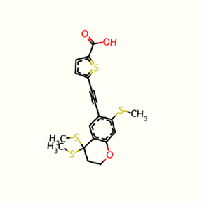 CSc1cc2c(cc1C#Cc1ccc(C(=O)O)s1)C(SC)(SC)CCO2